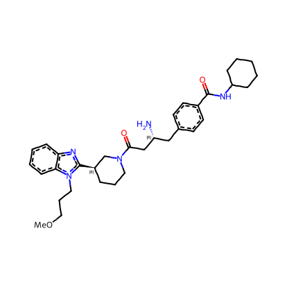 COCCCn1c([C@@H]2CCCN(C(=O)C[C@H](N)Cc3ccc(C(=O)NC4CCCCC4)cc3)C2)nc2ccccc21